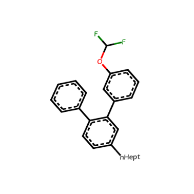 CCCCCCCc1ccc(-c2ccccc2)c(-c2cccc(OC(F)F)c2)c1